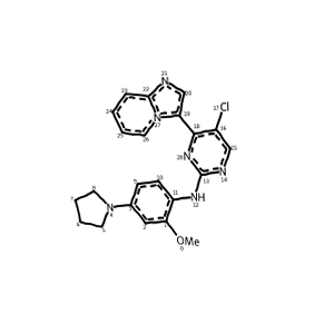 COc1cc(N2CCCC2)ccc1Nc1ncc(Cl)c(-c2cnc3ccccn23)n1